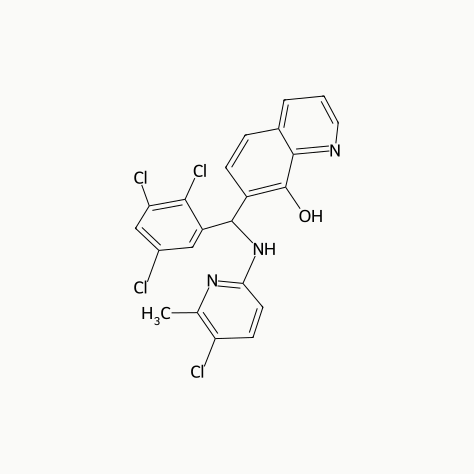 Cc1nc(NC(c2cc(Cl)cc(Cl)c2Cl)c2ccc3cccnc3c2O)ccc1Cl